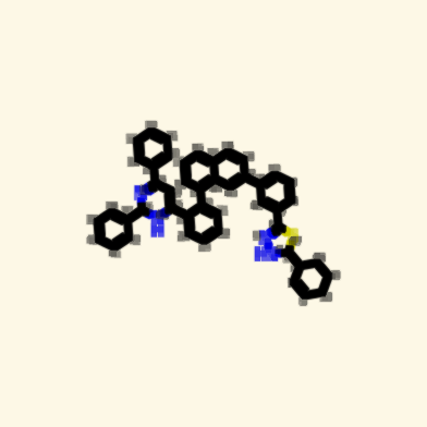 C1=CC(C2NN=C(c3cccc(-c4ccc5cccc(-c6ccccc6C6=CC(c7ccccc7)=NC(c7ccccc7)N6)c5c4)c3)S2)CCC1